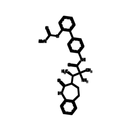 CNC(=O)Oc1ccccc1-c1ccc(NC(=O)C(C)(N)[C@H](C)C2CCc3ccccc3NC2=O)cc1